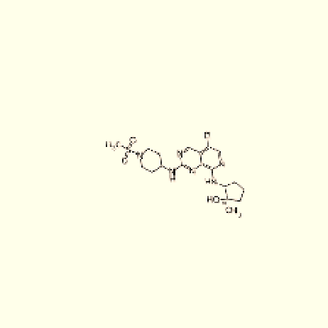 C[C@@]1(O)CCCC1Nc1ncc(Cl)c2cnc(NC3CCN(S(C)(=O)=O)CC3)nc12